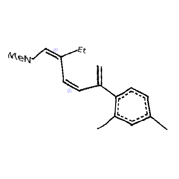 C=C(/C=C\C(=C/NC)CC)c1ccc(C)cc1C